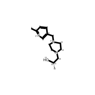 Cc1ccc(CN2CCN(C[C@H](C)O)CC2)cn1